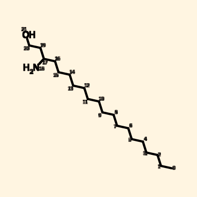 CCC[CH]CCCCCCCCCCCCCC(N)CCO